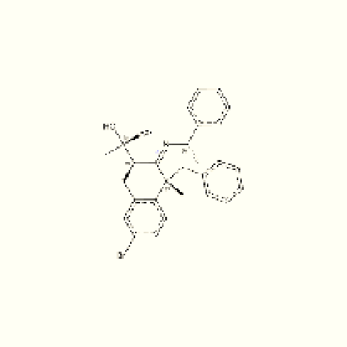 CCC[C@@](C)(O)[C@@H]1Cc2cc(Br)ccc2[C@@](C)(Cc2ccccc2)/C1=N\[C@@H](C)c1ccccc1